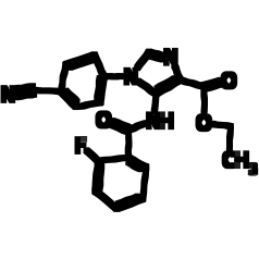 CCOC(=O)c1ncn(-c2ccc(C#N)cc2)c1NC(=O)c1ccccc1F